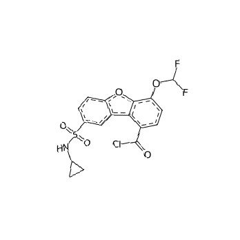 O=C(Cl)c1ccc(OC(F)F)c2oc3ccc(S(=O)(=O)NC4CC4)cc3c12